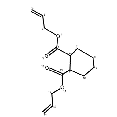 C=CCOC(=O)C1CCCCC1C(=O)OCC=C